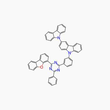 c1ccc(-c2nc(-c3cccc(-n4c5ccccc5c5cc(-n6c7ccccc7c7ccccc76)ccc54)c3)nc(-c3cccc4c3oc3ccccc34)n2)cc1